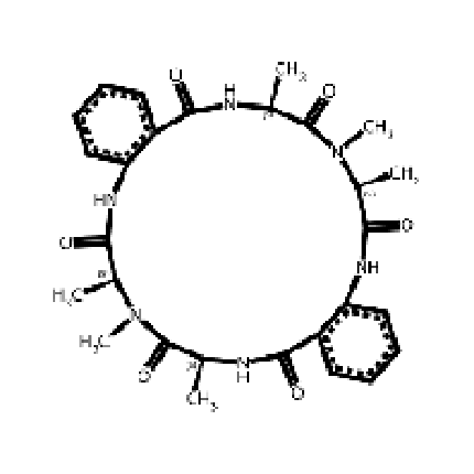 C[C@@H]1NC(=O)c2ccccc2NC(=O)[C@H](C)N(C)C(=O)[C@H](C)NC(=O)c2ccccc2NC(=O)[C@H](C)N(C)C1=O